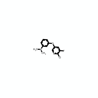 CN(C)c1cccc(Oc2cnc(Cl)c(F)c2)c1